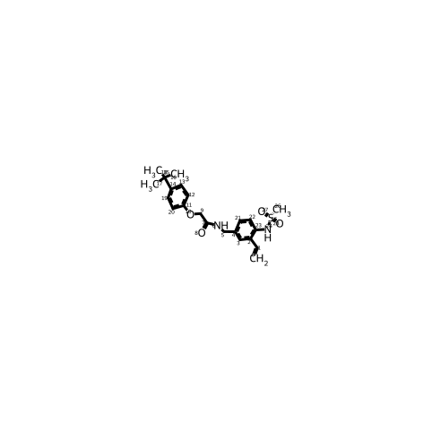 C=Cc1cc(CNC(=O)COc2ccc(C(C)(C)C)cc2)ccc1NS(C)(=O)=O